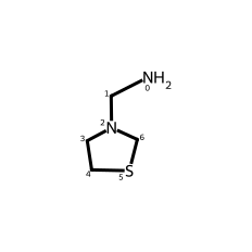 NCN1CCSC1